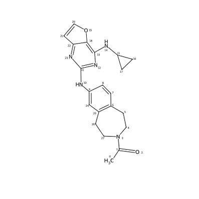 CC(=O)N1CCc2ccc(Nc3nc(NC4CC4)c4occc4n3)cc2CC1